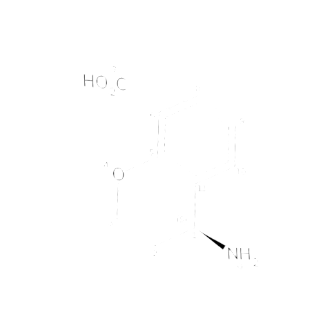 N[C@H]1CCOc2c(C(=O)O)cccc21